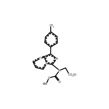 CCOC(=O)CN(C(=O)OC(C)(C)C)c1nc(-c2ccc(C(F)(F)F)cc2)c2ccccn12